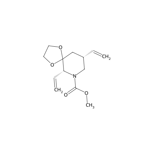 C=C[C@@H]1CN(C(=O)OC)[C@H](C=C)C2(C1)OCCO2